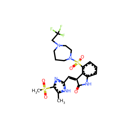 Cc1[nH]c(/C=C2\C(=O)Nc3cccc(S(=O)(=O)N4CCCN(CC(F)(F)F)CC4)c32)nc1S(C)(=O)=O